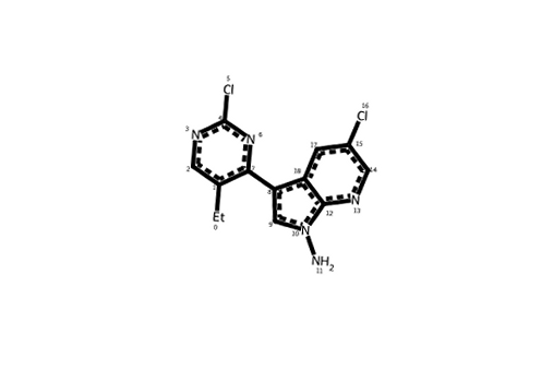 CCc1cnc(Cl)nc1-c1cn(N)c2ncc(Cl)cc12